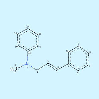 CN(CC=Cc1ccccc1)c1ccccc1